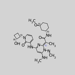 C=NN1C(NC)=CC(Nc2cccn([C@H]3CC[C@H]3O)c2=O)=N/C1=C(/C)C(=O)N[C@H]1CCC[C@H](OC)C1